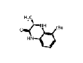 C[C@H]1Nc2c(cccc2C(C)(C)C)NC1=O